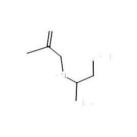 C=C(C)CNC(CCCCCC)CS(=O)(=O)O